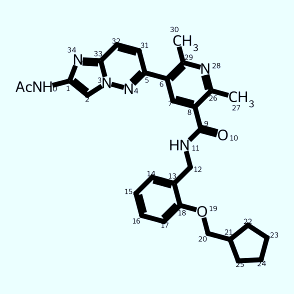 CC(=O)Nc1cn2nc(-c3cc(C(=O)NCc4ccccc4OCC4CCCC4)c(C)nc3C)ccc2n1